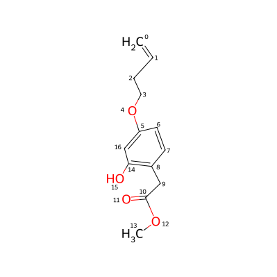 C=CCCOc1ccc(CC(=O)OC)c(O)c1